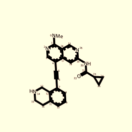 CNc1ncc(C#Cc2cccc3c2CNCC3)c2cc(NC(=O)C3CC3)ncc12